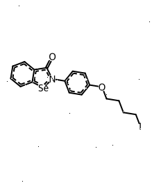 O=c1c2ccccc2[se]n1-c1ccc(OCCCCI)cc1